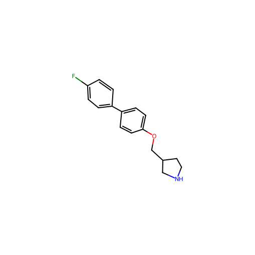 Fc1ccc(-c2ccc(OCC3CCNC3)cc2)cc1